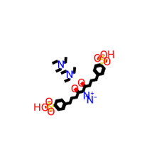 CCN(CC)CC.CCN(CC)CC.[N-]=[N+]=C(C(=O)CCCc1ccc(S(=O)(=O)O)cc1)C(=O)CCCc1ccc(S(=O)(=O)O)cc1